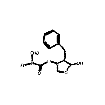 CCN(C=O)C(=O)ON1COC(O)C1Cc1ccccc1